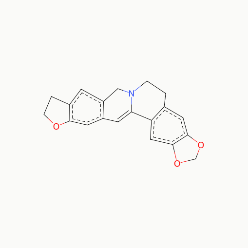 C1=C2c3cc4c(cc3CCN2Cc2cc3c(cc21)OCC3)OCO4